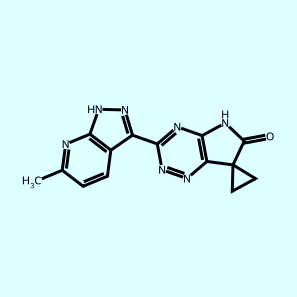 Cc1ccc2c(-c3nnc4c(n3)NC(=O)C43CC3)n[nH]c2n1